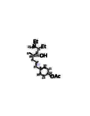 CCC([C@H](O)[C@H](C)C/C=C/c1ccc(OC(C)=O)cc1)N(C)CC